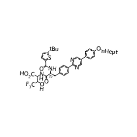 CCCCCCCOc1ccc(-c2cnc(-c3ccc(C[C@H](NC(=O)c4ccc(C(C)(C)C)s4)C(=O)NC(C(=O)O)C(O)C(F)(F)F)cc3)nc2)cc1